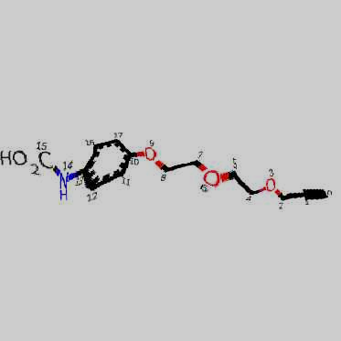 C#CCOCCOCCOc1ccc(NC(=O)O)cc1